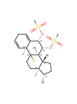 CC[C@H]1CC[C@H]2[C@@H]3[C@@H](OS(C)(=O)=O)[C@@H](OS(C)(=O)=O)C4=CCC=C[C@]4(C)[C@@]3(F)CC[C@]12C